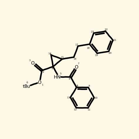 CC(C)(C)OC(=O)C1(NC(=O)c2ccccc2)CC1CCc1ccccc1